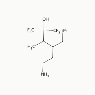 CC(C)CC(CCN)C(C)C(O)(C(F)(F)F)C(F)(F)F